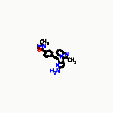 Cc1noc(-c2ccc(C#Cc3nc(N)ccc3-c3c(C)nc4ccccn34)cc2)n1